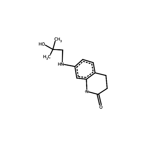 CC(C)(O)CNc1ccc2c(c1)[N]C(=O)CC2